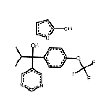 CC(C)C(O)(c1ccc(OC(F)(F)F)cc1)c1cncnc1.Oc1ccco1